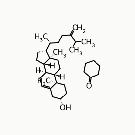 C=C(CC[C@@H](C)[C@H]1CC[C@H]2[C@@H]3CC=C4C[C@@H](O)CC[C@]4(C)[C@H]3CC[C@]12C)C(C)C.O=C1CCCCC1